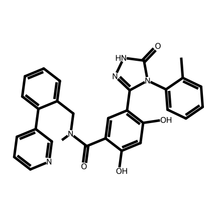 Cc1ccccc1-n1c(-c2cc(C(=O)N(C)Cc3ccccc3-c3cccnc3)c(O)cc2O)n[nH]c1=O